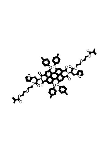 C=C(C)C(=O)OCCOCCOC(=O)C(Cc1ccco1)N1C(=O)c2cc(Oc3ccc(C)cc3)c3c4c(Oc5ccc(C)cc5)cc5c6c(cc(Oc7ccc(C)cc7)c(c7c(Oc8ccc(C)cc8)cc(c2c37)C1=O)c64)C(=O)N(C(Cc1ccco1)C(=O)OCCOCCOC(=O)C(=C)C)C5=O